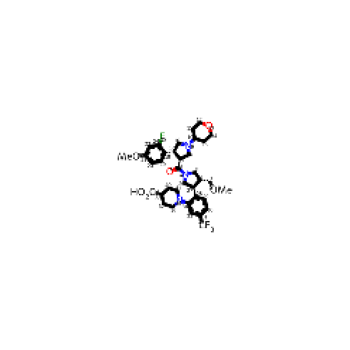 COC[C@H]1CN(C(=O)[C@@H]2CN(C3CCOCC3)C[C@H]2c2ccc(OC)cc2F)C[C@@H]1c1ccc(C(F)(F)F)cc1N1CCC(C(=O)O)CC1